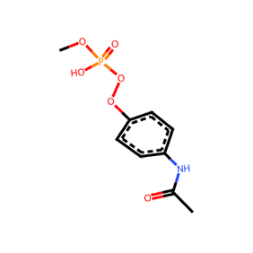 COP(=O)(O)OOc1ccc(NC(C)=O)cc1